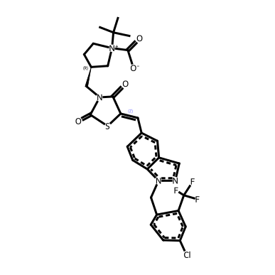 CC(C)(C)[N+]1(C(=O)[O-])CC[C@H](CN2C(=O)S/C(=C\c3ccc4c(cnn4Cc4ccc(Cl)cc4C(F)(F)F)c3)C2=O)C1